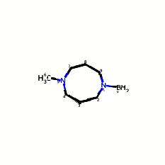 BN1CCCN(C)CCC1